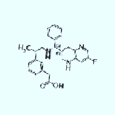 CC(CN[C@H](c1ccccc1)[C@H]1CNc2cc(F)cnc2C1)c1cccc(CC(=O)O)c1